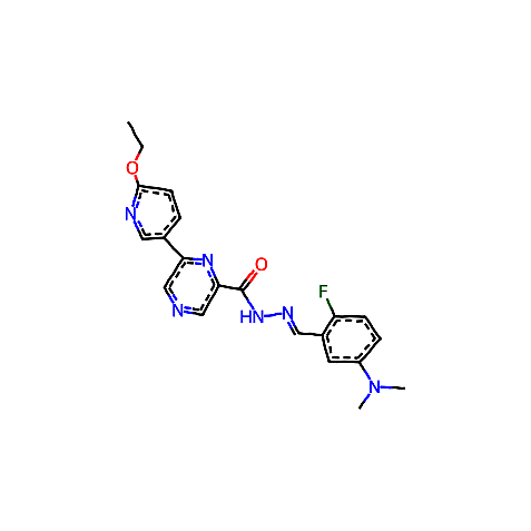 CCOc1ccc(-c2cncc(C(=O)N/N=C/c3cc(N(C)C)ccc3F)n2)cn1